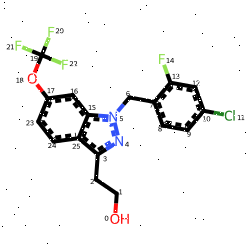 OCCc1nn(Cc2ccc(Cl)cc2F)c2cc(OC(F)(F)F)ccc12